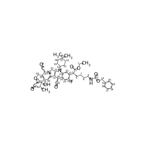 CCOC(=O)[C@@H](CCCCNC(=O)OCc1ccccc1)c1cc2c(cc1F)C(=C=O)C1=C(CN3C(=C=O)C4=C(C=C13)C(O)(CC)C(=C=O)OC4)N2C1CCC(C)(C)CC1